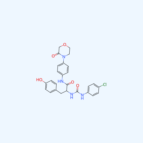 O=C(Nc1ccc(Cl)cc1)NC(Cc1ccc(O)cc1)C(=O)Nc1ccc(N2CCOCC2=O)cc1